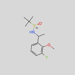 COc1c(F)cccc1C(C)N[S@+]([O-])C(C)(C)C